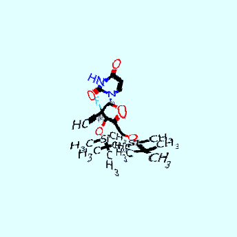 C#C[C@@]1(F)C(O[Si](C)(C)C(C)(C)C)C(CO[Si](C)(C)C(C)(C)C)O[C@H]1n1ccc(=O)[nH]c1=O